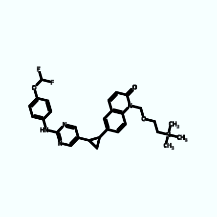 C[Si](C)(C)CCOCn1c(=O)ccc2cc(C3CC3c3cnc(Nc4ccc(OC(F)F)cc4)nc3)ccc21